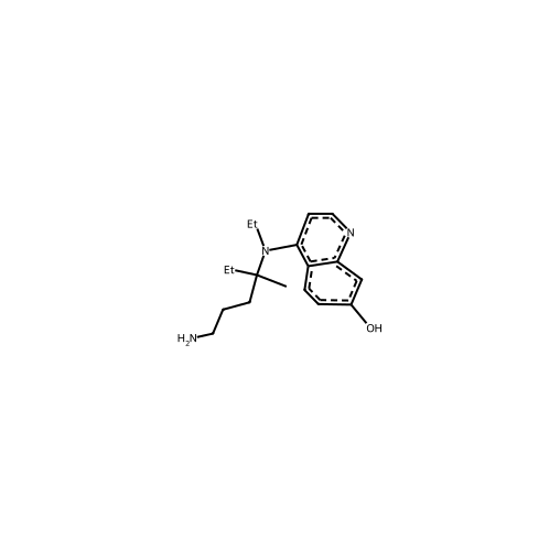 CCN(c1ccnc2cc(O)ccc12)C(C)(CC)CCCN